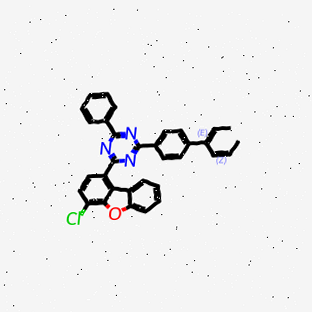 C/C=C\C(=C/C)c1ccc(-c2nc(-c3ccccc3)nc(-c3ccc(Cl)c4oc5ccccc5c34)n2)cc1